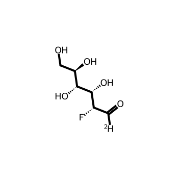 [2H]C(=O)[C@H](F)[C@@H](O)[C@H](O)[C@H](O)CO